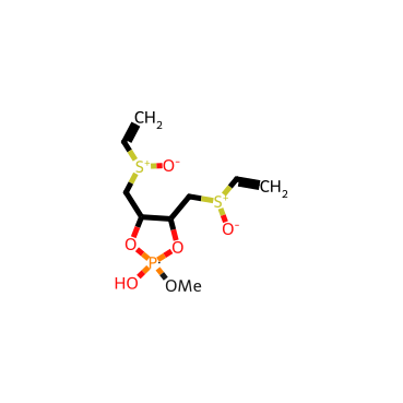 C=C[S+]([O-])CC1O[P](O)(OC)OC1C[S+]([O-])C=C